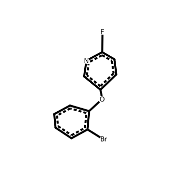 Fc1ccc(Oc2ccccc2Br)cn1